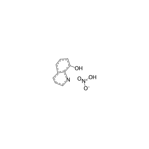 O=[N+]([O-])O.Oc1cccc2cccnc12